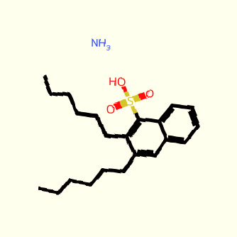 CCCCCCc1cc2ccccc2c(S(=O)(=O)O)c1CCCCCC.N